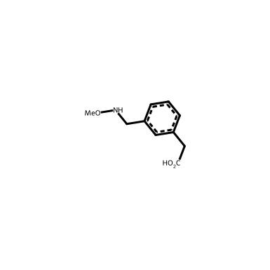 CONCc1cccc(CC(=O)O)c1